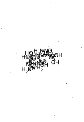 Nc1nc(=O)n([C@H]2C[C@H](O)[C@@H](CO)O2)cc1CCN(CC[C@H](N)C(=O)O)CC1O[C@@H](n2cnc3c(N)ncnc32)[C@H](O)[C@@H]1O